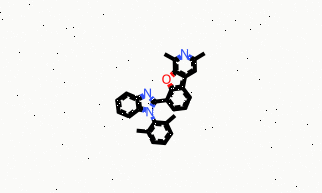 Cc1cc2c(oc3c(-c4nc5ccccc5n4-c4c(C)cccc4C)cccc32)c(C)n1